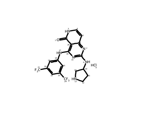 Cl.O=c1[nH]ccc2nc(NC3CCNC3)nc(Nc3cc(C(F)(F)F)cc(C(F)(F)F)c3)c12